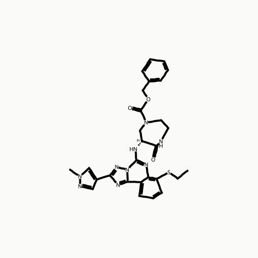 CCSc1cccc2c1nc(N[C@@H]1CN(C(=O)OCc3ccccc3)CCNC1=O)n1nc(-c3cnn(C)c3)nc21